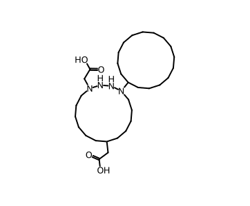 O=C(O)CC1CCCCCCN(CC(=O)O)NNN(C2CCCCCCCCCCCCCCC2)CCCCC1